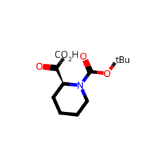 CC(C)(C)OC(=O)N1CCCC[C@H]1C(=O)C(=O)O